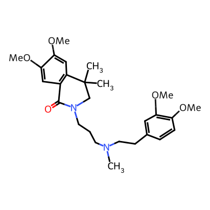 COc1ccc(CCN(C)CCCN2CC(C)(C)c3cc(OC)c(OC)cc3C2=O)cc1OC